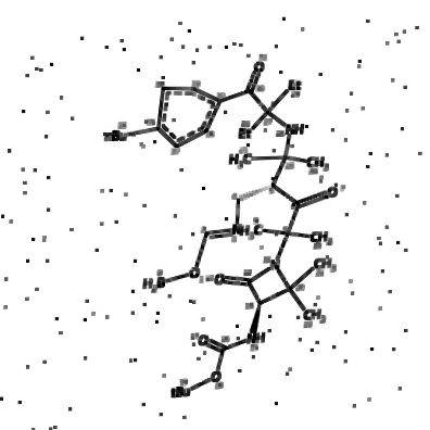 BOC=NC[C@@H](C(=O)C(C)(C)N1C(=O)[C@H](NC(=O)OC(C)(C)C)C1(C)C)C(C)(C)NC(CC)(CC)C(=O)c1ccc(CCCC)cc1